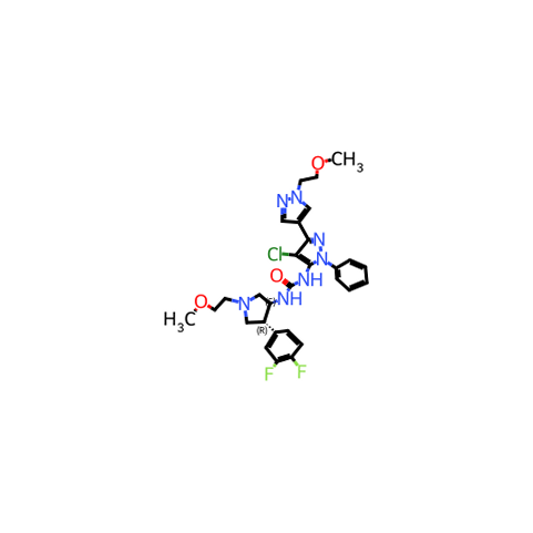 COCCN1C[C@@H](NC(=O)Nc2c(Cl)c(-c3cnn(CCOC)c3)nn2-c2ccccc2)[C@H](c2ccc(F)c(F)c2)C1